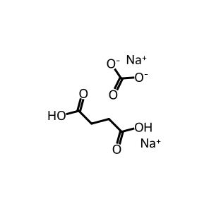 O=C(O)CCC(=O)O.O=C([O-])[O-].[Na+].[Na+]